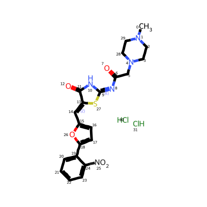 CN1CCN(CC(=O)/N=C2\NC(=O)/C(=C/c3ccc(-c4ccccc4[N+](=O)[O-])o3)S2)CC1.Cl.Cl